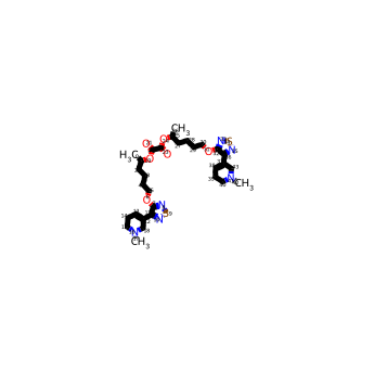 CC(CCCCOc1nsnc1C1=CCCN(C)C1)OC(=O)C(=O)OC(C)CCCCOc1nsnc1C1=CCCN(C)C1